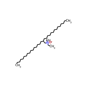 CCCCCCCCCCCCCCCCC(CCCCCCCCCCCCCC)C[N+](C)([O-])CC